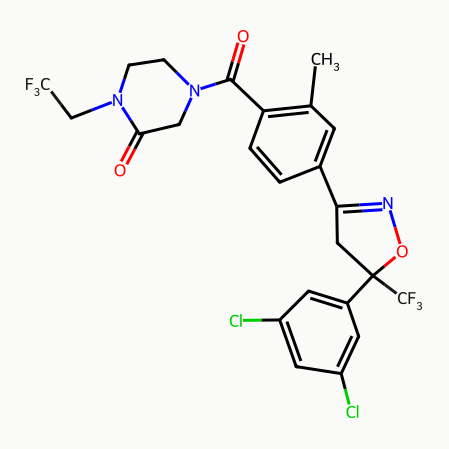 Cc1cc(C2=NOC(c3cc(Cl)cc(Cl)c3)(C(F)(F)F)C2)ccc1C(=O)N1CCN(CC(F)(F)F)C(=O)C1